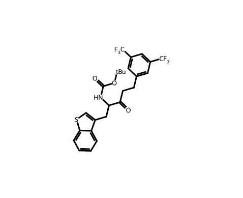 CC(C)(C)OC(=O)NC(Cc1csc2ccccc12)C(=O)CCc1cc(C(F)(F)F)cc(C(F)(F)F)c1